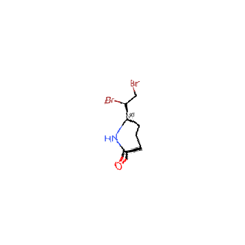 O=C1CC[C@H](C(Br)CBr)N1